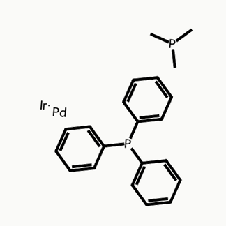 CP(C)C.[Ir].[Pd].c1ccc(P(c2ccccc2)c2ccccc2)cc1